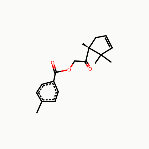 Cc1ccc(C(=O)OCC(=O)[C@]2(C)CC=CC2(C)C)cc1